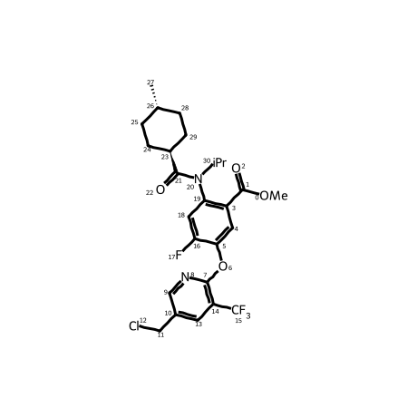 COC(=O)c1cc(Oc2ncc(CCl)cc2C(F)(F)F)c(F)cc1N(C(=O)[C@H]1CC[C@H](C)CC1)C(C)C